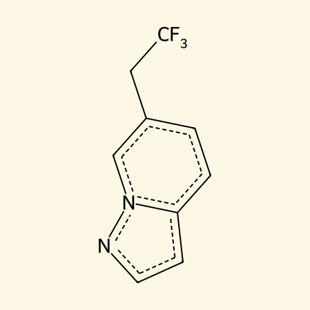 FC(F)(F)Cc1ccc2ccnn2c1